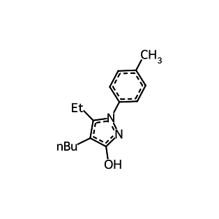 CCCCc1c(O)nn(-c2ccc(C)cc2)c1CC